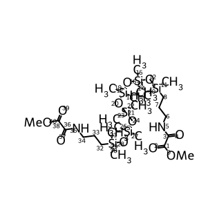 COC(=O)C(=O)NCCC[Si](C)(C)O[Si](C)(C)O[Si](C)(C)O[Si](C)(C)O[Si](C)(C)O[Si](C)(C)CCCNC(=O)C(=O)OC